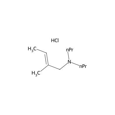 CC=C(C)CN(CCC)CCC.Cl